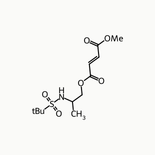 COC(=O)/C=C/C(=O)OCC(C)NS(=O)(=O)C(C)(C)C